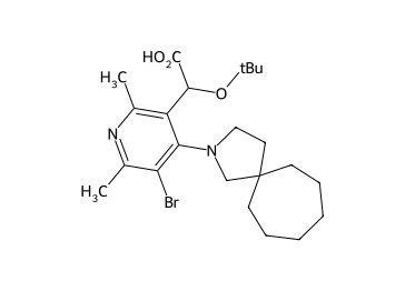 Cc1nc(C)c(C(OC(C)(C)C)C(=O)O)c(N2CCC3(CCCCCC3)C2)c1Br